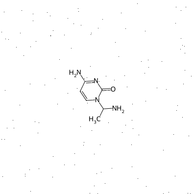 CC(N)n1ccc(N)nc1=O